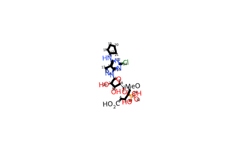 COCC(CCC(=O)O)(OC[C@H]1O[C@@H](n2ncc3c(NC4CCCC4)nc(Cl)nc32)[C@H](O)[C@@H]1O)P(=O)(O)O